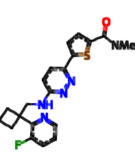 CNC(=O)c1ccc(-c2ccc(NCC3(c4ncccc4F)CCC3)nn2)s1